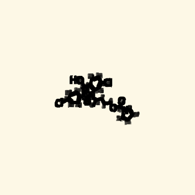 C[C@H](CCCOC(=O)N1CCCC1)N(c1cc(Cl)ccc1CO)S(=O)(=O)c1ccc(Cl)cc1